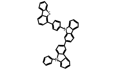 c1ccc(-n2c3ccccc3c3cc(-c4ccc5c6ccccc6n(-c6ccc(-c7cccc8c7sc7ccccc78)cc6)c5c4)ccc32)cc1